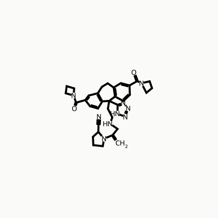 C=C(CNCCC1(c2nnn[nH]2)c2ccc(C(=O)N3CCC3)cc2CCc2cc(C(=O)N3CCC3)ccc21)N1CCCC1C#N